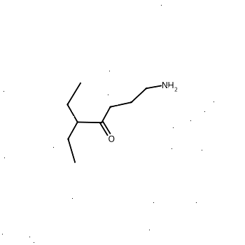 CCC(CC)C(=O)CCCN